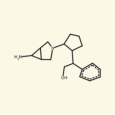 NC1C2CN(C3CCCC3C(CO)c3ccccc3)CC12